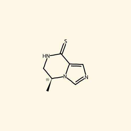 C[C@H]1CNC(=S)c2cncn21